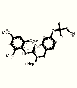 CCCCCCCN(Cc1ccc(OC(C)(C)CO)cc1)C(=O)Nc1c(OC)cc(OC)cc1OC